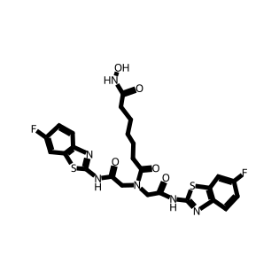 O=C(CCCCCC(=O)N(CC(=O)Nc1nc2ccc(F)cc2s1)CC(=O)Nc1nc2ccc(F)cc2s1)NO